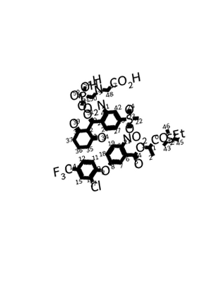 CCOC(=O)C(C)OC(=O)c1cc(Oc2ccc(C(F)(F)F)cc2Cl)ccc1[N+](=O)[O-].CS(=O)(=O)c1ccc(C(=O)C2C(=O)CCCC2=O)c([N+](=O)[O-])c1.C[S+](C)C.O=C(O)CNCP(=O)([O-])O